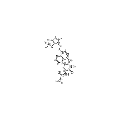 Cc1cc2c(n1CCN(C=O)c1nccc(-c3cc(NC(=O)C4CC4)c(=O)n(C)c3)c1CO)CC(C)(C)C2